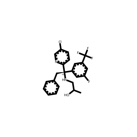 CC(O)CN[C@@](Cc1ccccc1)(c1cc(F)cc(C(F)(F)F)c1)c1ccc(Cl)cn1